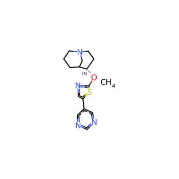 C.c1ncc(-c2cnc(O[C@H]3CCN4CCCC3C4)s2)cn1